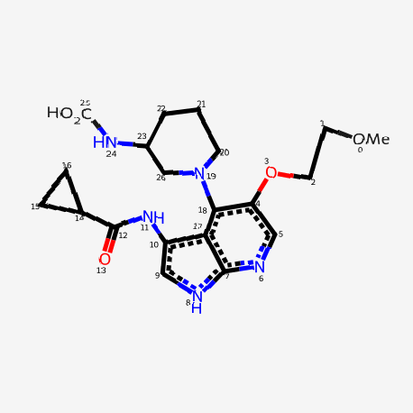 COCCOc1cnc2[nH]cc(NC(=O)C3CC3)c2c1N1CCCC(NC(=O)O)C1